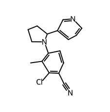 Cc1c(N2CCCC2c2cccnc2)ccc(C#N)c1Cl